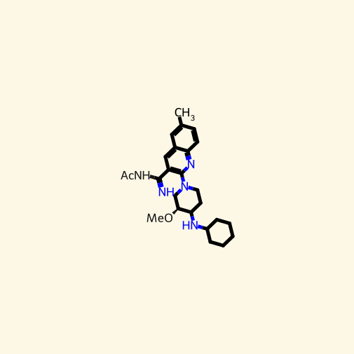 CO[C@H]1CN(c2nc3ccc(C)cc3cc2C(=N)NC(C)=O)CCC1NC1CCCCC1